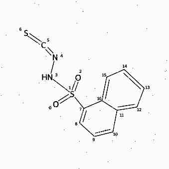 O=S(=O)(NN=C=S)c1cccc2ccccc12